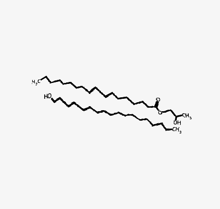 CCCCCCCCCCCCCCCCCC(=O)OCC(C)O.CCCCCCCCCCCCCCCCCCO